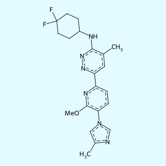 COc1nc(-c2cc(C)c(NC3CCC(F)(F)CC3)nn2)ccc1-n1cnc(C)c1